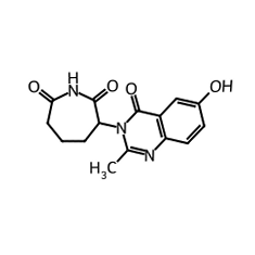 Cc1nc2ccc(O)cc2c(=O)n1C1CCCC(=O)NC1=O